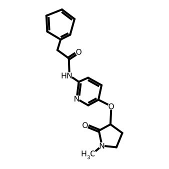 CN1CCC(Oc2ccc(NC(=O)Cc3ccccc3)nc2)C1=O